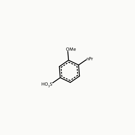 CCCc1ccc(S(=O)(=O)O)cc1OC